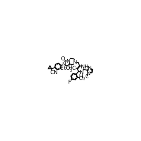 CCOC(=O)C1=C(CN2CCN3C(=O)N(c4ccc(C5(C#N)CC5)cc4)C[C@@H]3C2)NC(c2nccn2C)=NC1c1ccc(F)cc1Cl